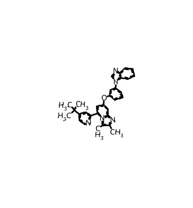 Cc1nc2cc(Oc3cccc(-n4cnc5ccccc54)c3)cc(-c3cc(C(C)(C)C)ccn3)n2c1C